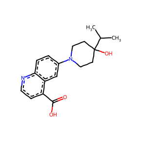 CC(C)C1(O)CCN(c2ccc3nccc(C(=O)O)c3c2)CC1